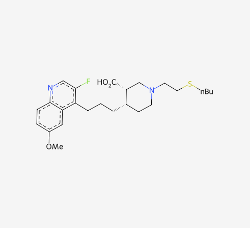 CCCCSCCN1CC[C@H](CCCc2c(F)cnc3ccc(OC)cc23)[C@H](C(=O)O)C1